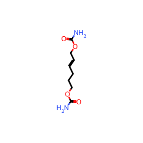 NC(=O)OCC=CCCCOC(N)=O